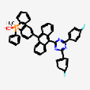 CP(O)(c1ccccc1)(c1ccccc1)c1ccc(-c2c3ccccc3c(-c3nc(C4=CCC(F)C=C4)nc(-c4ccc(F)cc4)n3)c3ccccc23)cc1